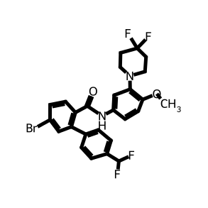 COc1ccc(NC(=O)c2ccc(Br)cc2-c2ccc(C(F)F)cc2)cc1N1CCC(F)(F)CC1